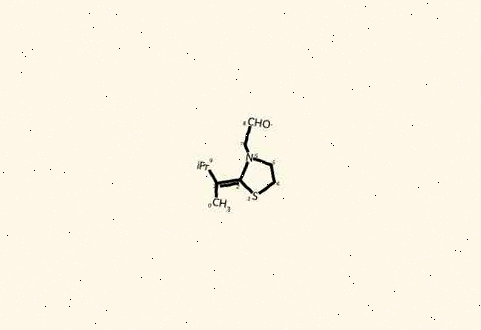 CC(=C1SCCN1C[C]=O)C(C)C